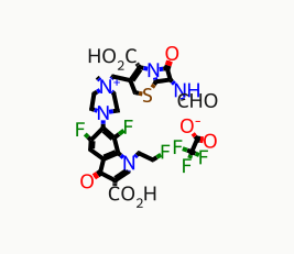 C[N+]1(CC2=C(C(=O)O)N3C(=O)C(NC=O)C3SC2)CCN(c2c(F)cc3c(=O)c(C(=O)O)cn(CCF)c3c2F)CC1.O=C([O-])C(F)(F)F